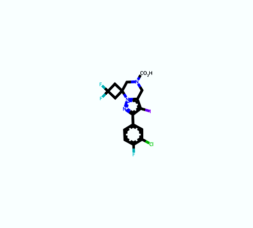 O=C(O)N1Cc2c(I)c(-c3ccc(F)c(Cl)c3)nn2C2(C1)CC(F)(F)C2